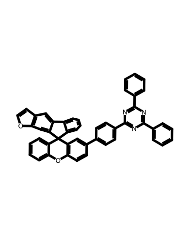 c1ccc(-c2nc(-c3ccccc3)nc(-c3ccc(-c4ccc5c(c4)C4(c6ccccc6O5)c5ccccc5-c5cc6ccoc6cc54)cc3)n2)cc1